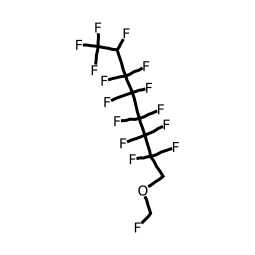 FCOCC(F)(F)C(F)(F)C(F)(F)C(F)(F)C(F)(F)C(F)C(F)(F)F